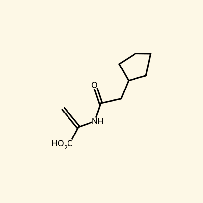 C=C(NC(=O)CC1CCCC1)C(=O)O